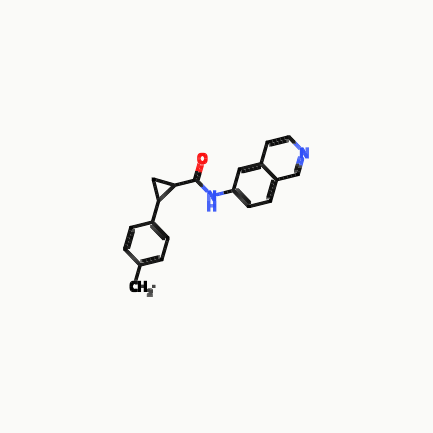 [CH2]c1ccc(C2CC2C(=O)Nc2ccc3cnccc3c2)cc1